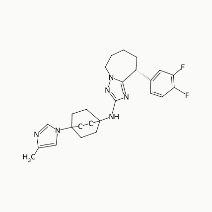 Cc1cn(C23CCC(Nc4nc5n(n4)CCCC[C@@H]5c4ccc(F)c(F)c4)(CC2)CC3)cn1